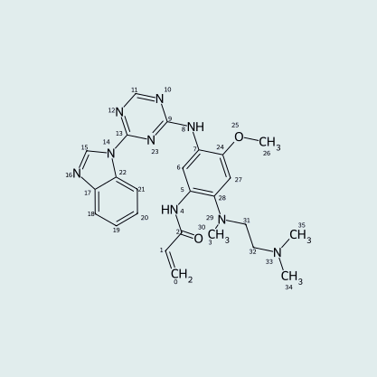 C=CC(=O)Nc1cc(Nc2ncnc(-n3cnc4ccccc43)n2)c(OC)cc1N(C)CCN(C)C